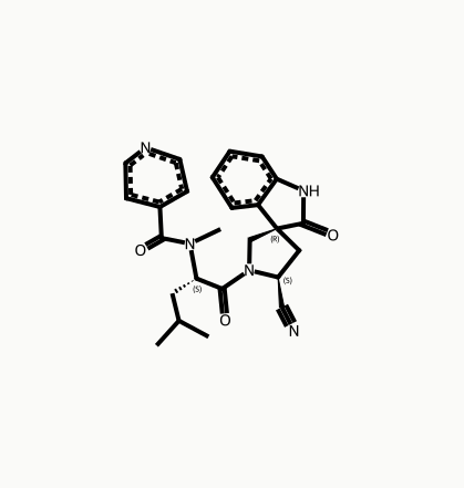 CC(C)C[C@@H](C(=O)N1C[C@]2(C[C@H]1C#N)C(=O)Nc1ccccc12)N(C)C(=O)c1ccncc1